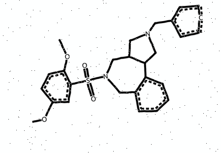 COc1ccc(OC)c(S(=O)(=O)N2Cc3ccccc3C3CN(Cc4ccccc4)CC3C2)c1